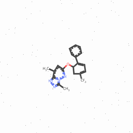 Cc1cc(OC2CC(C(F)(F)F)=CC=C2c2ccccc2)nn2c(C)nnc12